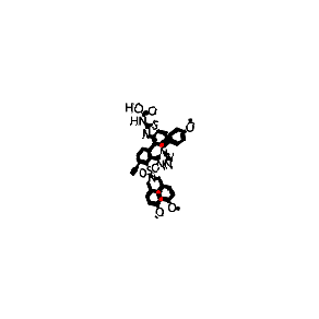 C#Cc1ccc(-c2cccc3sc(NC(=O)O)nc23)c(-c2nnnn2Cc2ccc(OC)cc2)c1S(=O)(=O)N(Cc1ccc(OC)cc1)Cc1ccc(OC)cc1